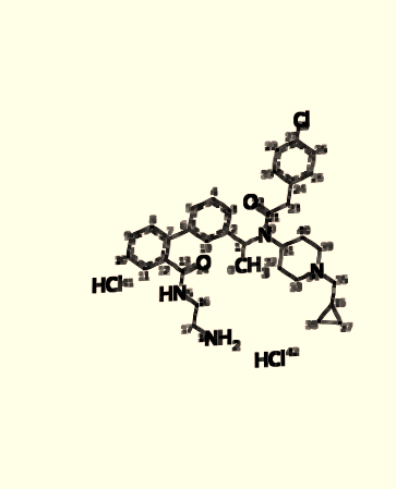 CC(c1cccc(-c2ccccc2C(=O)NCCN)c1)N(C(=O)Cc1ccc(Cl)cc1)C1CCN(CC2CC2)CC1.Cl.Cl